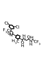 Cc1cc(C2=NO[C@](c3cc(Cl)cc(Cl)c3)(C(F)(F)F)C2)ccc1C(O)NCC(O)NCC(F)(F)F